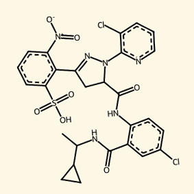 CC(NC(=O)c1cc(Cl)ccc1NC(=O)C1CC(c2c([N+](=O)[O-])cccc2S(=O)(=O)O)=NN1c1ncccc1Cl)C1CC1